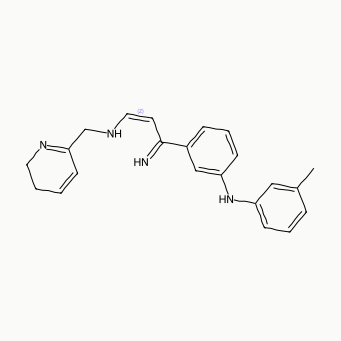 Cc1cccc(Nc2cccc(C(=N)/C=C\NCC3=NCCC=C3)c2)c1